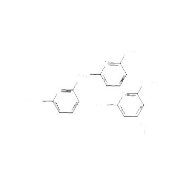 O=C([O-])c1cccc(C(=O)[O-])n1.O=C([O-])c1cccc(C(=O)[O-])n1.O=C([O-])c1cccc(C(=O)[O-])n1.[Ru+3].[Ru+3]